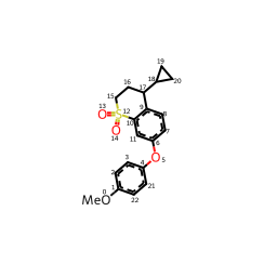 COc1ccc(Oc2ccc3c(c2)S(=O)(=O)CCC3C2CC2)cc1